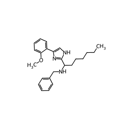 CCCCCCC(NCc1ccccc1)c1nc(-c2ccccc2OC)c[nH]1